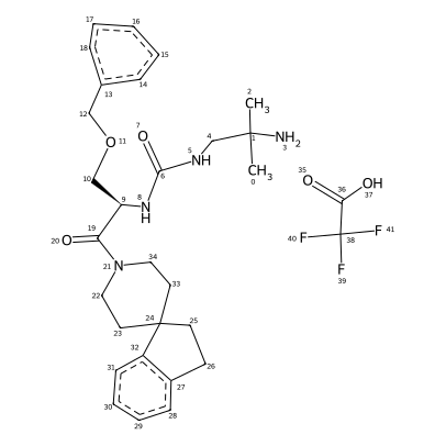 CC(C)(N)CNC(=O)N[C@H](COCc1ccccc1)C(=O)N1CCC2(CCc3ccccc32)CC1.O=C(O)C(F)(F)F